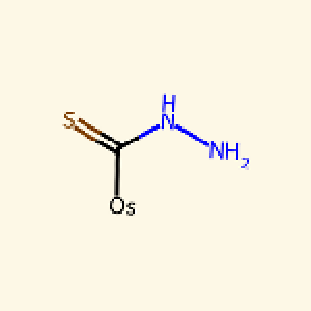 NN[C](=S)[Os]